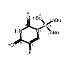 CCC[CH2][Sn]([CH2]CCC)([CH2]CCC)[n]1cc(F)c(=O)[nH]c1=O